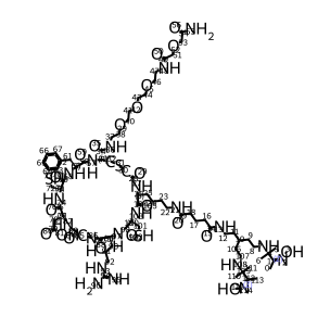 C/C(=N/O)C(C)(C)NCCC(CCNC(=O)CCCC(=O)NCCCC[C@@H]1NC(=O)CSC[C@@H](C(=O)NCCOCCOCCOCCNC(=O)COCC(N)=O)NC(=O)[C@H](Cc2ccccc2)NC(=O)[C@H](CS)NC(=O)[C@H](CC(=O)O)NC(=O)CNC(=O)[C@H](CCCNC(=N)N)NC(=O)[C@H](CS)NC1=O)CCNC(C)(C)/C(C)=N\O